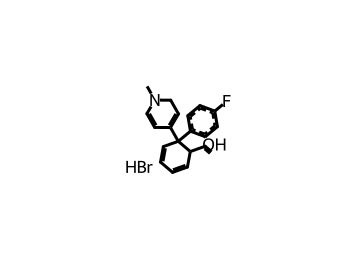 Br.C=CC1C=CC=CC1(C1=CCN(C)C=C1)c1ccc(F)cc1O